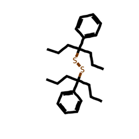 CCCC(CCC)(SSC(CCC)(CCC)c1ccccc1)c1ccccc1